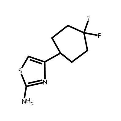 Nc1nc(C2CCC(F)(F)CC2)cs1